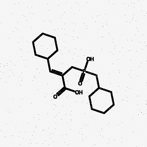 O=C(O)/C(=C/C1CCCCC1)CP(=O)(O)CC1CCCCC1